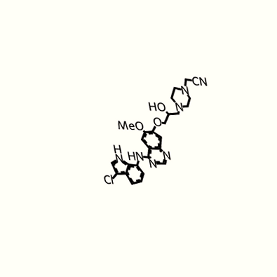 COc1cc2c(Nc3cccc4c(Cl)c[nH]c34)ncnc2cc1OCC(O)CN1CCN(CC#N)CC1